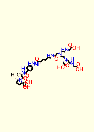 C[C@@H](NC(=O)c1ccc(NNC(=O)CCCCCNC(=O)CN(CCNCC(=O)O)CCN(CCNCC(=O)O)CC(=O)O)cc1)C(=O)N1CCC[C@H]1B(O)O